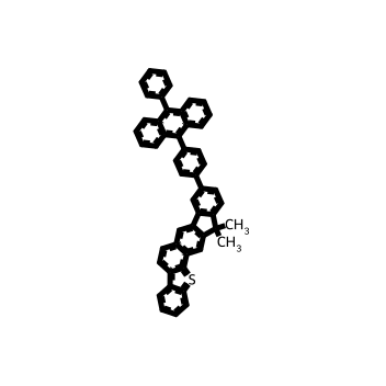 CC1(C)c2ccc(-c3ccc(-c4c5ccccc5c(-c5ccccc5)c5ccccc45)cc3)cc2-c2cc3ccc4c5ccccc5sc4c3cc21